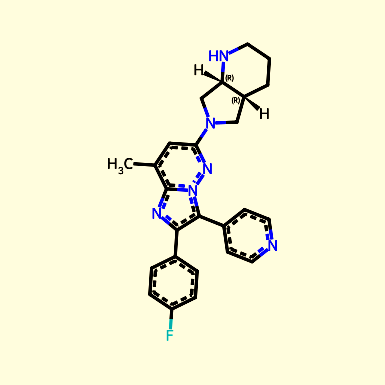 Cc1cc(N2C[C@H]3CCCN[C@H]3C2)nn2c(-c3ccncc3)c(-c3ccc(F)cc3)nc12